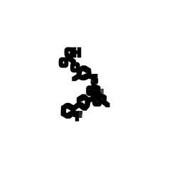 CCCN(CCSc1ccc(OCC(=O)O)c(C)c1)S(=O)(=O)c1ccc(-c2ccccc2F)cc1